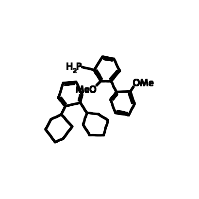 COc1ccccc1-c1cccc(P)c1OC.c1ccc(C2CCCCC2)c(C2CCCCC2)c1